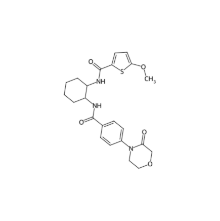 COc1ccc(C(=O)NC2CCCCC2NC(=O)c2ccc(N3CCOCC3=O)cc2)s1